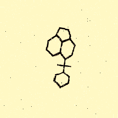 CC(C)(C1CCCCC1)C1CCC2CCC3CCCC1C32